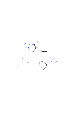 CCCc1c(CC2=CCC(c3ccccc3-c3noc(O)n3)S2)c(=O)n([C@H]2CC[C@H](OCC(C)(C)O)CC2)c2ncnn12